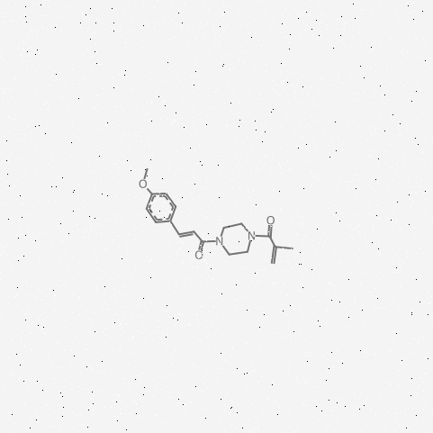 C=C(C)C(=O)N1CCN(C(=O)/C=C/c2ccc(OC)cc2)CC1